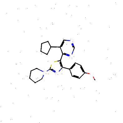 COc1ccc(-c2nc(N3CCCCC3)sc2-c2n[c]ncc2C2CCCC2)cc1